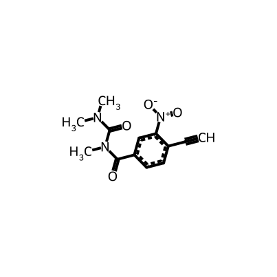 C#Cc1ccc(C(=O)N(C)C(=O)N(C)C)cc1[N+](=O)[O-]